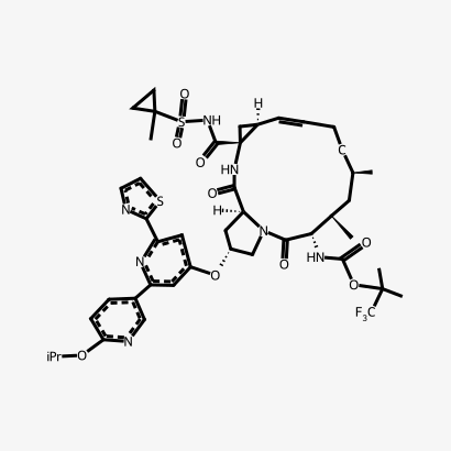 CC(C)Oc1ccc(-c2cc(O[C@@H]3C[C@H]4C(=O)N[C@]5(C(=O)NS(=O)(=O)C6(C)CC6)C[C@H]5/C=C\CC[C@@H](C)C[C@@H](C)[C@H](NC(=O)OC(C)(C)C(F)(F)F)C(=O)N4C3)cc(-c3nccs3)n2)cn1